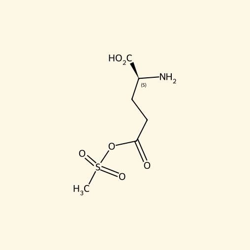 CS(=O)(=O)OC(=O)CC[C@H](N)C(=O)O